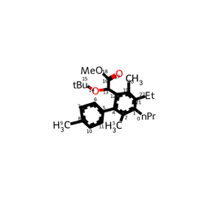 CCCc1c(C)c(-c2ccc(C)cc2)c(C(OC(C)(C)C)C(=O)OC)c(C)c1CC